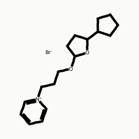 [Br-].c1cc[n+](CCCOC2CCC(C3CCCC3)O2)cc1